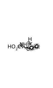 Br.NC(CCCCOc1ccc(-c2ccccc2)cc1)C(=O)O